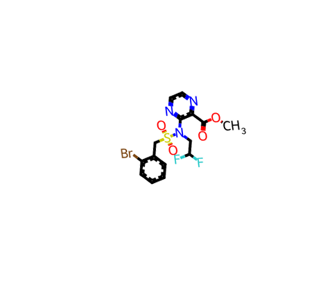 COC(=O)c1nccnc1N(CC(F)F)S(=O)(=O)Cc1ccccc1Br